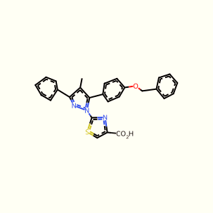 Cc1c(-c2ccccc2)nn(-c2nc(C(=O)O)cs2)c1-c1ccc(OCc2ccccc2)cc1